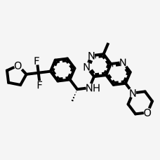 Cc1nnc(N[C@H](C)c2cccc(C(F)(F)C3CCCO3)c2)c2cc(N3CCOCC3)cnc12